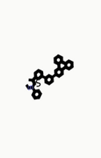 C/C=C(/c1ccccc1)c1sc2c(-c3cccc(-c4ccc5c6ccccc6c6ccccc6c5c4)c3)cccc2c1C